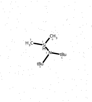 C[SiH](C)N(C(C)(C)C)C(C)(C)C